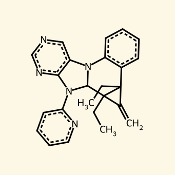 C=C1C2(CC)c3ccccc3N3c4cncnc4N(c4ccccn4)C3C12CC